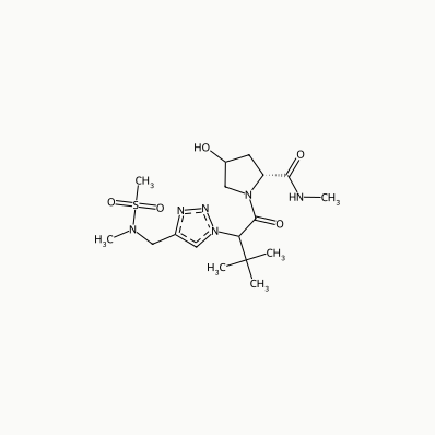 CNC(=O)[C@H]1CC(O)CN1C(=O)C(n1cc(CN(C)S(C)(=O)=O)nn1)C(C)(C)C